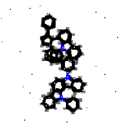 C1=C(c2ccccc2)C(c2cccc3c4ccccc4n(-c4ccccc4-c4cccc(-n5c6ccccc6c6c5ccc5c7ccccc7n(-c7ccccc7)c56)c4)c23)C(c2ccccc2)=C1